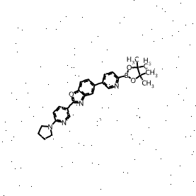 CC1(C)OB(c2ccc(-c3ccc4oc(-c5ccc(N6CCCC6)nc5)nc4c3)cn2)OC1(C)C